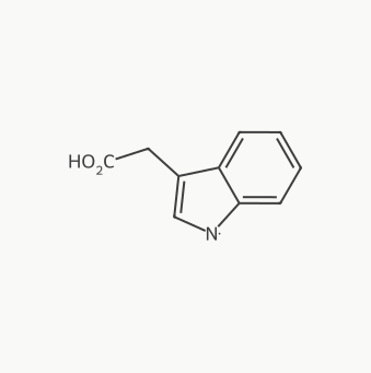 O=C(O)CC1=C[N]c2ccccc21